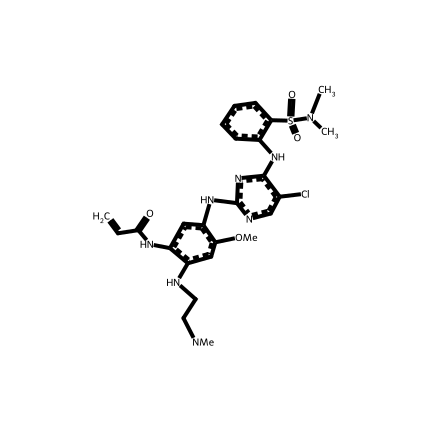 C=CC(=O)Nc1cc(Nc2ncc(Cl)c(Nc3ccccc3S(=O)(=O)N(C)C)n2)c(OC)cc1NCCNC